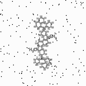 Cn1c2cc(N(c3ccccc3)c3cccc4ccccc34)ccc2c2c3ccc4c(c3ccc21)c1ccc(N(c2ccccc2)c2cccc3ccccc23)cc1n4C